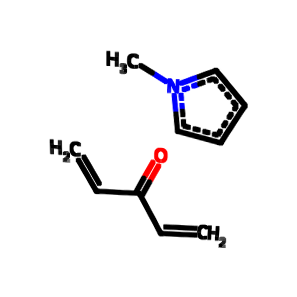 C=CC(=O)C=C.Cn1cccc1